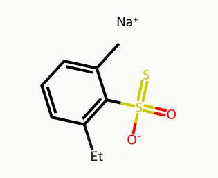 CCc1cccc(C)c1S(=O)([O-])=S.[Na+]